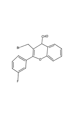 O=CC1C(CBr)=C(c2cccc(F)c2)Oc2ccccc21